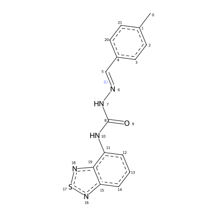 Cc1ccc(/C=N/NC(=O)Nc2cccc3nsnc23)cc1